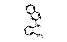 Nc1ccccc1Nc1ncc2ccccc2n1